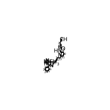 C#CCCOC(=O)Nc1cccc(CCC#CCO/N=C(/c2ccccc2)c2nnnn2C)n1